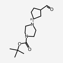 CC(C)(C)OC(=O)N1CCN([C@@H]2CCC(C=O)C2)CC1